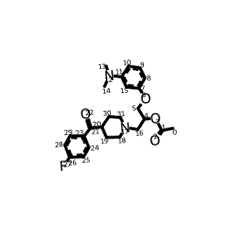 CC(=O)OC(COc1cccc(N(C)C)c1)CN1CCC(C(=O)c2ccc(F)cc2)CC1